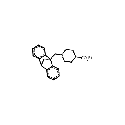 CCOC(=O)C1CCN(CC23CC(c4ccccc42)c2ccccc23)CC1